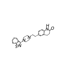 O=C1CCc2cc(CCN3CCN(c4nsc5ccccc45)CC3)ccc2N1